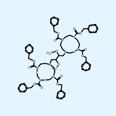 COC(CN1CCN(C(=O)OCc2ccccc2)CCN(C(=O)OCc2ccccc2)CCN(C(=O)OCc2ccccc2)CC1)C(CN1CCN(C(=O)OCc2ccccc2)CCN(C(=O)OCc2ccccc2)CCN(C(=O)OCc2ccccc2)CC1)OC